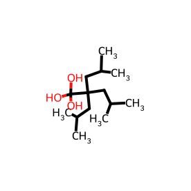 CC(C)CC(CC(C)C)(CC(C)C)C(O)(O)O